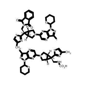 Cc1csc([C@]2(CN3C(=O)c4ccccc4C3=O)[C@@H]3CN(c4cnc5c(I)nn(C6CCCCO6)c5n4)C[C@@H]32)n1.Cc1csc([C@]2(CNC(=O)O)[C@@H]3CN(c4cnc5c(I)nn(C6CCCCO6)c5n4)C[C@@H]32)n1